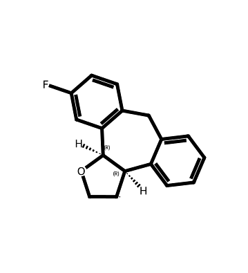 Fc1ccc2c(c1)[C@@H]1OC[CH][C@@H]1c1ccccc1C2